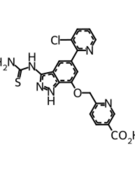 NC(=S)Nc1n[nH]c2c(OCc3ccc(C(=O)O)cn3)cc(-c3ncccc3Cl)cc12